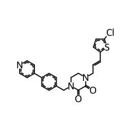 O=C1C(=O)N(Cc2ccc(-c3ccncc3)cc2)CCN1C/C=C/c1ccc(Cl)s1